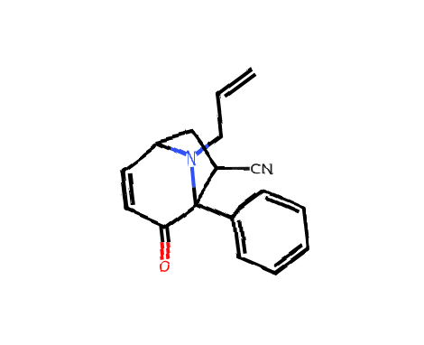 C=CCN1C2C=CC(=O)C1(c1ccccc1)C(C#N)C2